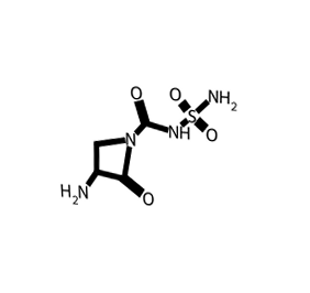 NC1CN(C(=O)NS(N)(=O)=O)C1=O